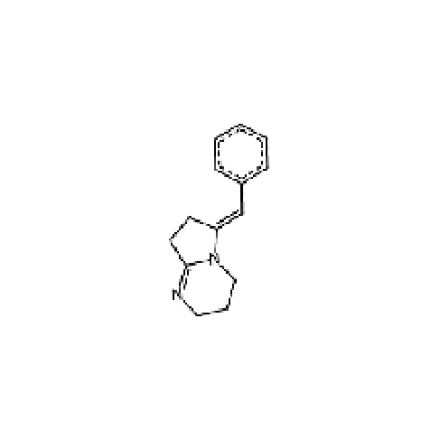 C(=C1CCC2=NCCCN12)c1ccccc1